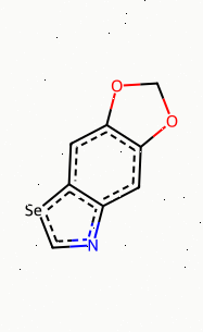 c1nc2cc3c(cc2[se]1)OCO3